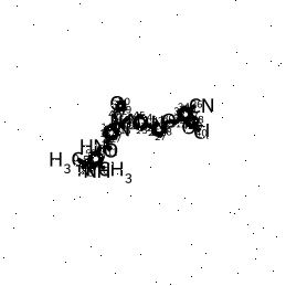 Cc1n[nH]c2c(C)cc(NC(=O)c3ccc4c(c3)nc(CN3CC=C(c5cccc(OCc6ccc(C#N)c7cc(Cl)oc67)n5)CC3)n4C[C@@H]3CCO3)cc12